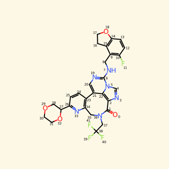 O=C1c2ncn3c(NCc4c(F)ccc5c4CCO5)ncc(c23)-c2ccc(C3COCCO3)nc2CN1CC(F)(F)F